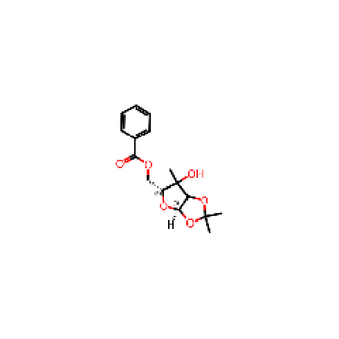 CC1(C)OC2[C@H](O[C@H](COC(=O)c3ccccc3)C2(C)O)O1